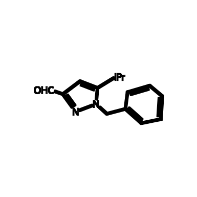 CC(C)c1cc(C=O)nn1Cc1ccccc1